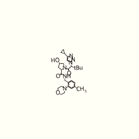 Cc1ccc(CNC(=O)C2CC(O)CN2C(=O)[C@@H](n2cc(C3CC3)nn2)C(C)(C)C)c(N2CCOCC2)c1